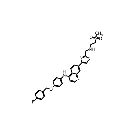 CS(=O)(=O)CCNCc1nc(-c2ccc3c(Nc4ccc(OCc5ccc(F)cc5)cc4)ccnc3c2)cs1